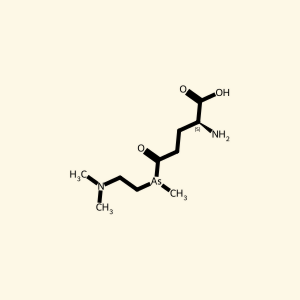 CN(C)CC[As](C)C(=O)CC[C@H](N)C(=O)O